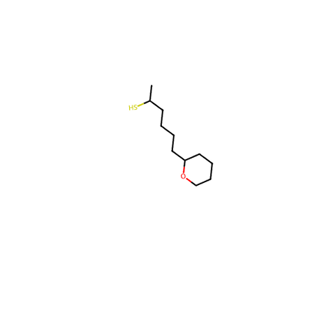 CC(S)CCCCC1CCCCO1